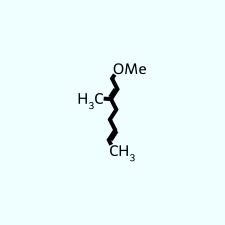 C/C=C/CC/C(C)=C/COC